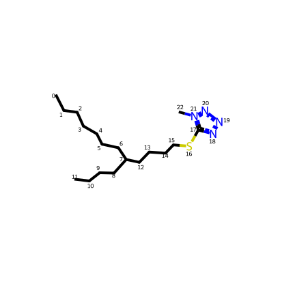 CCCCCCCC(CCCC)CCCCSc1nnnn1C